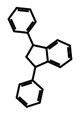 c1ccc(C2CC(c3ccccc3)c3ccccc32)cc1